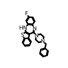 Fc1ccc2c(c1)Nc1sc3ccccc3c1C(N1CCN(Cc3ccccc3)CC1)=N2